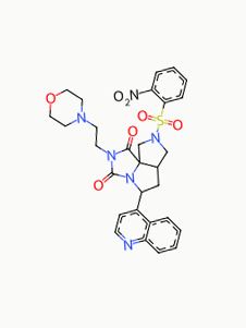 O=C1N(CCN2CCOCC2)C(=O)C23CN(S(=O)(=O)c4ccccc4[N+](=O)[O-])CC2CC(c2ccnc4ccccc24)N13